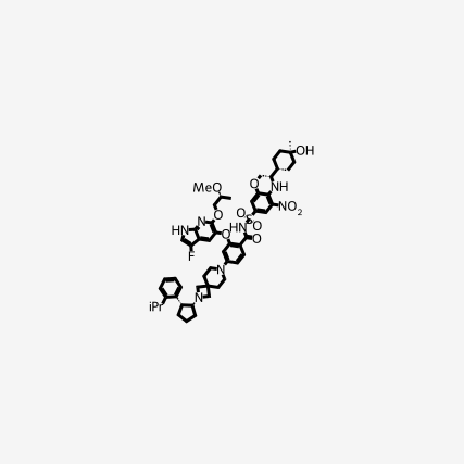 CO[C@H](C)COc1nc2[nH]cc(F)c2cc1Oc1cc(N2CCC3(CC2)CN([C@@H]2CCC[C@@H]2c2ccccc2C(C)C)C3)ccc1C(=O)NS(=O)(=O)c1cc2c(c([N+](=O)[O-])c1)N[C@@H]([C@H]1CC[C@](C)(O)CC1)CO2